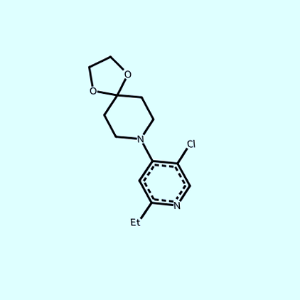 CCc1cc(N2CCC3(CC2)OCCO3)c(Cl)cn1